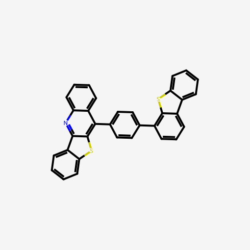 c1ccc2c(-c3ccc(-c4cccc5c4sc4ccccc45)cc3)c3sc4ccccc4c3nc2c1